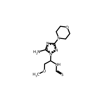 COCC(NC=S)n1nc(N2CCOCC2)nc1N